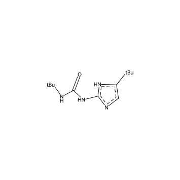 CC(C)(C)NC(=O)Nc1ncc(C(C)(C)C)[nH]1